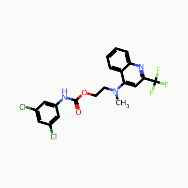 CN(CCOC(=O)Nc1cc(Cl)cc(Cl)c1)c1cc(C(F)(F)F)nc2ccccc12